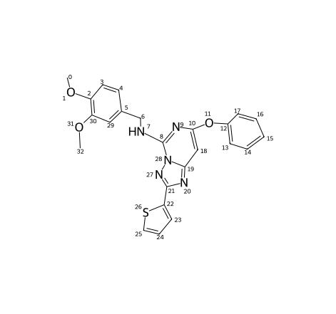 COc1ccc(CNc2nc(Oc3ccccc3)cc3nc(-c4cccs4)nn23)cc1OC